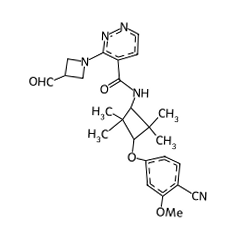 COc1cc(OC2C(C)(C)C(NC(=O)c3ccnnc3N3CC(C=O)C3)C2(C)C)ccc1C#N